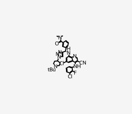 CN(C)C(=O)c1cccc([C@H](Nc2cc(Cl)cc3c(Nc4cccc(Cl)c4F)c(C#N)cnc23)c2cn(C3CCN(C(C)(C)C)CC3)nn2)c1